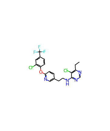 CCc1ncnc(NCCc2ccc(Oc3ccc(C(F)(F)F)cc3Cl)nc2)c1Cl